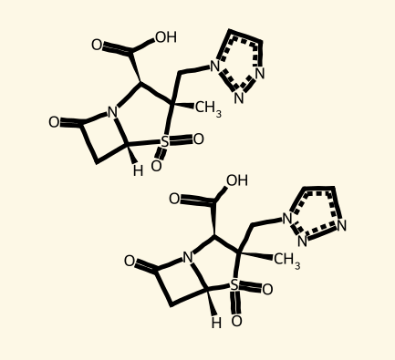 C[C@]1(Cn2ccnn2)[C@H](C(=O)O)N2C(=O)C[C@H]2S1(=O)=O.C[C@]1(Cn2ccnn2)[C@H](C(=O)O)N2C(=O)C[C@H]2S1(=O)=O